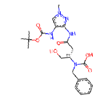 Cn1cc(NC(=O)OC(C)(C)C)c(NC(=O)C[C@@H](CO)N(Cc2ccccc2)C(=O)O)n1